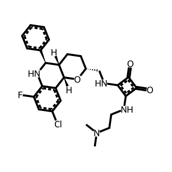 CN(C)CCNc1c(NC[C@H]2CC[C@@H]3[C@H](O2)c2cc(Cl)cc(F)c2N[C@H]3c2ccccc2)c(=O)c1=O